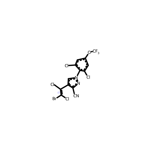 N#Cc1nn(-c2c(Cl)cc(OC(F)(F)F)cc2Cl)cc1/C(Cl)=C(\Cl)Br